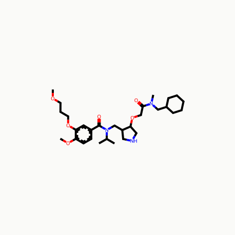 COCCCOc1cc(C(=O)N(CC2CNCC2OCC(=O)N(C)CC2CCCCC2)C(C)C)ccc1OC